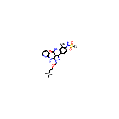 CCS(=O)(=O)Nc1ccc(-c2nn(COCC[Si](C)(C)C)c(Nc3ccccn3)c2C(N)=O)cc1OCC(C)C